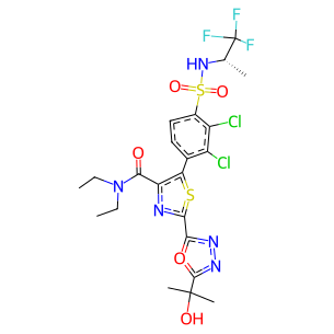 CCN(CC)C(=O)c1nc(-c2nnc(C(C)(C)O)o2)sc1-c1ccc(S(=O)(=O)N[C@@H](C)C(F)(F)F)c(Cl)c1Cl